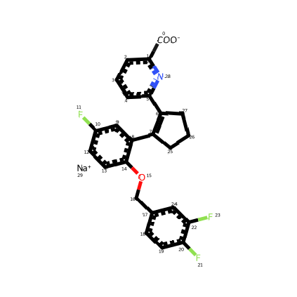 O=C([O-])c1cccc(C2=C(c3cc(F)ccc3OCc3ccc(F)c(F)c3)CCC2)n1.[Na+]